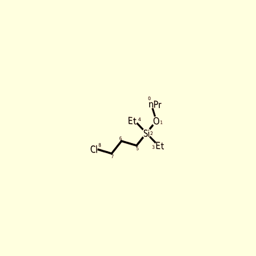 CCCO[Si](CC)(CC)CCCCl